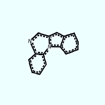 c1ccc2c(c1)cc1cnc3ccccc3n12